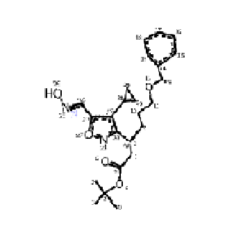 CC(C)(C)OC(=O)C[C@H](CCCOCc1ccccc1)c1noc(/C=N/O)c1C1CC1